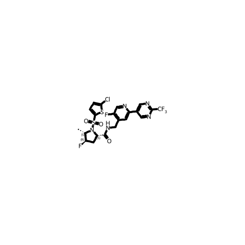 C[C@H]1[C@H](F)C[C@@H](C(=O)NCc2cc(-c3cnc(C(F)(F)F)nc3)ncc2F)N1S(=O)(=O)c1ccc(Cl)s1